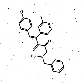 C=C(CN(C)Cc1ccccc1)C(=O)/C(=C/c1ccc(Cl)cc1)c1cccc(Cl)c1